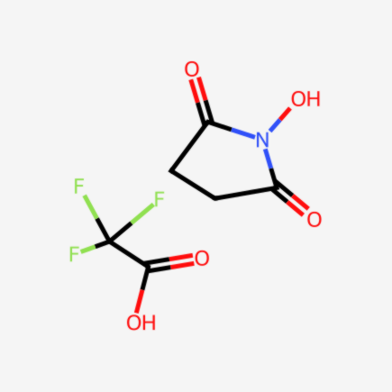 O=C(O)C(F)(F)F.O=C1CCC(=O)N1O